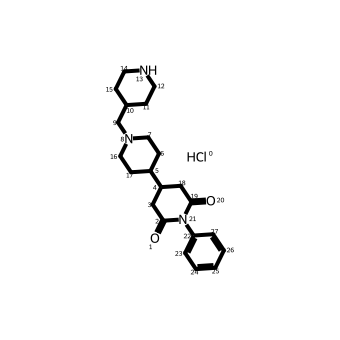 Cl.O=C1CC(C2CCN(CC3CCNCC3)CC2)CC(=O)N1c1ccccc1